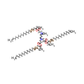 CCCCCCCCCCCCCCSSSCC(CC)OC(=O)CCN(C)CCCN(CCC(=O)OC(CC)CSSSCCCCCCCCCCCCCC)CCC(=O)OC(CC)CSSSCCCCCCCCCCCCCC